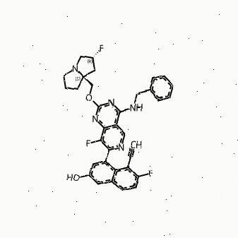 C#Cc1c(F)ccc2cc(O)cc(-c3ncc4c(NCc5ccccc5)nc(OC[C@@]56CCCN5C[C@H](F)C6)nc4c3F)c12